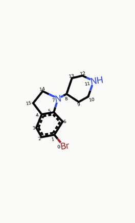 Brc1ccc2c(c1)N(C1CCNCC1)CC2